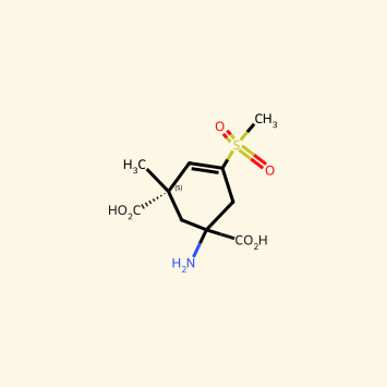 C[C@@]1(C(=O)O)C=C(S(C)(=O)=O)CC(N)(C(=O)O)C1